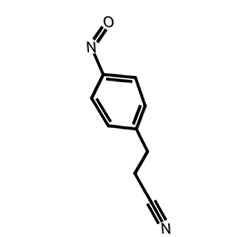 N#CCCc1ccc(N=O)cc1